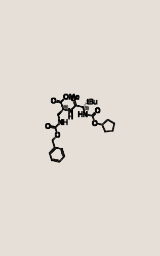 COC(=O)[C@H](CNC(=O)OCc1ccccc1)NC(=O)[C@@H](NC(=O)OC1CCCC1)C(C)(C)C